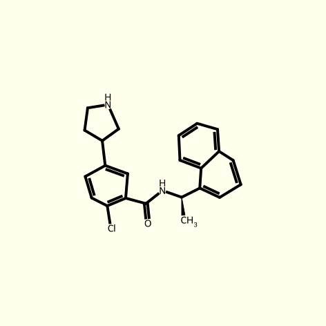 C[C@@H](NC(=O)c1cc(C2CCNC2)ccc1Cl)c1cccc2ccccc12